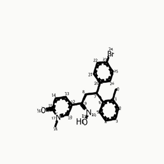 Cc1ccccc1C(C/C(=N/O)c1ccc(=O)n(C)c1)c1ccc(Br)cc1